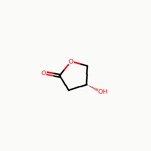 O=C1C[C@@H](O)CO1